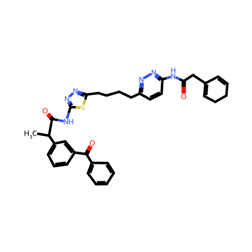 CC(C(=O)Nc1nnc(CCCCc2ccc(NC(=O)CC3=CCCC=C3)nn2)s1)c1cccc(C(=O)c2ccccc2)c1